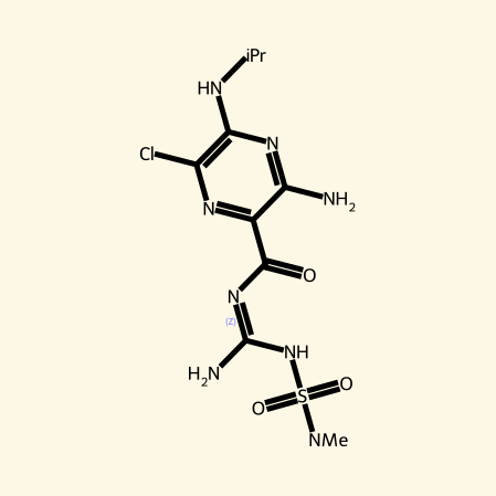 CNS(=O)(=O)N/C(N)=N\C(=O)c1nc(Cl)c(NC(C)C)nc1N